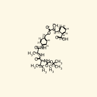 CC(NC(=O)C(NC(=O)OC(C)(C)C)C(C)C)C(=O)Nc1ccc(COC(=O)N(C)Cc2ccccc2C(=O)O)cc1